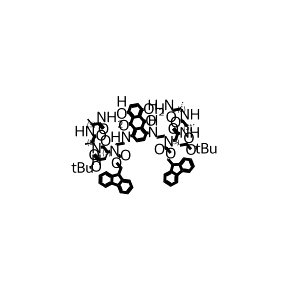 C[C@H](NC(=O)[C@H](C)NC(=O)[C@H](CC(=O)OC(C)(C)C)N(CCNc1ccc(NCCN(C(=O)OCC2c3ccccc3-c3ccccc32)[C@@H](CC(=O)OC(C)(C)C)C(=O)N[C@@H](C)C(=O)N[C@@H](C)C(N)=O)c2c1C(=O)c1c(O)ccc(O)c1C2=O)C(=O)OCC1c2ccccc2-c2ccccc21)C(N)=O